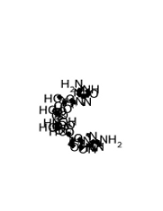 Nc1nc2c(ncn2[C@@H](CO)O[C@@H](CO)COP(=O)(O)OP(=O)(O)NP(=O)(O)OP(=O)(O)OC[C@H](CO)O[C@H](CO)n2cnc3c(N)ncnc32)c(=O)[nH]1